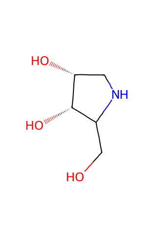 OCC1NC[C@@H](O)[C@H]1O